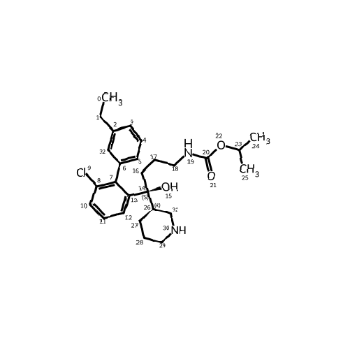 CCc1cccc(-c2c(Cl)cccc2[C@](O)(CCCNC(=O)OC(C)C)[C@@H]2CCCNC2)c1